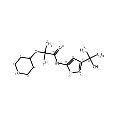 CC(C)(OC1CCOCC1)C(=O)Nc1cc(C(C)(C)C)no1